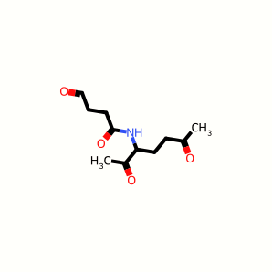 CC(=O)CCC(NC(=O)CCC=O)C(C)=O